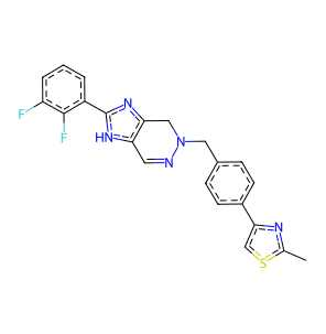 Cc1nc(-c2ccc(CN3Cc4nc(-c5cccc(F)c5F)[nH]c4C=N3)cc2)cs1